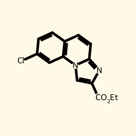 CCOC(=O)c1cn2c(ccc3ccc(Cl)cc32)n1